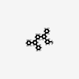 FCc1cccc(-c2cc(-c3ccccc3)cc(-c3cccc(-c4cc(-c5ccccc5)cc(-c5ccccc5)c4)c3)c2)c1